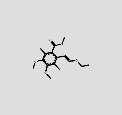 CCO/C=C/c1c(F)c(OC)c(OC)c(C)c1C(=O)OC